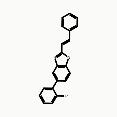 CC(=O)c1ccccc1-c1ccc2oc(C=Cc3ccccc3)nc2c1